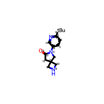 CC(C)(C)c1ccc(N2CC3(CNC3)CC2=O)cn1